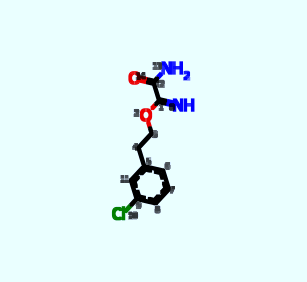 N=C(OCCc1cccc(Cl)c1)C(N)=O